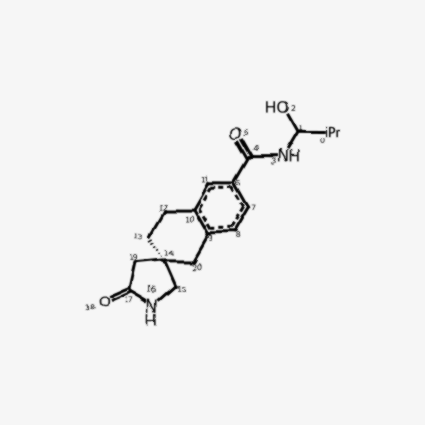 CC(C)C(O)NC(=O)c1ccc2c(c1)CC[C@@]1(CNC(=O)C1)C2